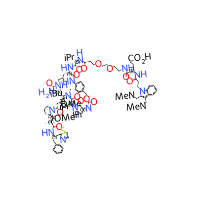 CC[C@H](C)[C@@H]([C@@H](CC(=O)N1CCC[C@H]1[C@H](OC)[C@@H](C)C(=O)N[C@@H](Cc1ccccc1)c1nccs1)OC)N(C)C(=O)[C@@H](NC(=O)[C@H](C(C)C)N(C)C(=O)OCc1ccc(NC(=O)[C@H](CCCNC(N)=O)NC(=O)[C@@H](NC(=O)CCOCCOCCNC(=O)[C@H](CCC(=O)O)NC(=O)CCn2c(CNC)c(CNC)c3ccccc32)C(C)C)cc1)C(C)C